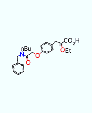 CCCCN(Cc1ccccc1)C(=O)COc1ccc(C[C@H](OCC)C(=O)O)cc1